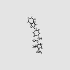 Nc1snc(C(=O)Nc2ccc(-c3cc4ccccc4s3)cc2)c1Cl